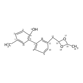 Cc1ccc(O)c(-c2cccc(CC3OC(C)O3)c2)c1